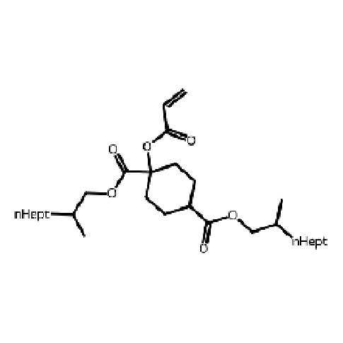 C=CC(=O)OC1(C(=O)OCC(C)CCCCCCC)CCC(C(=O)OCC(C)CCCCCCC)CC1